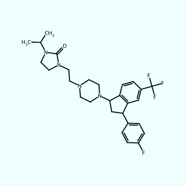 CC(C)N1CCN(CCN2CCN(C3CC(c4ccc(F)cc4)c4cc(C(F)(F)F)ccc43)CC2)C1=O